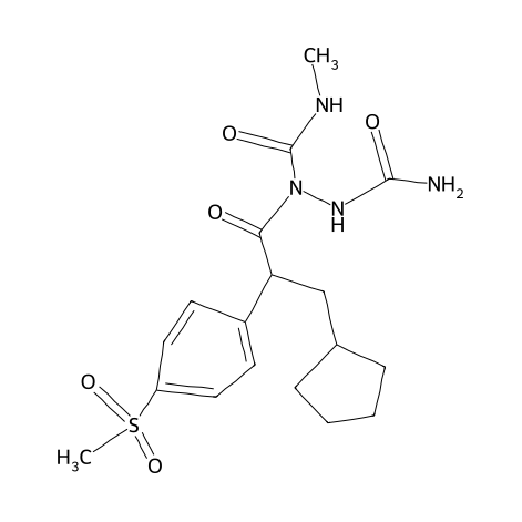 CNC(=O)N(NC(N)=O)C(=O)C(CC1CCCC1)c1ccc(S(C)(=O)=O)cc1